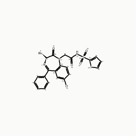 CC[C@H](C)[C@@H]1N=C(c2ccccc2)c2cc(Cl)ccc2N(CC(=O)NS(=O)(=O)c2cccs2)C1=O